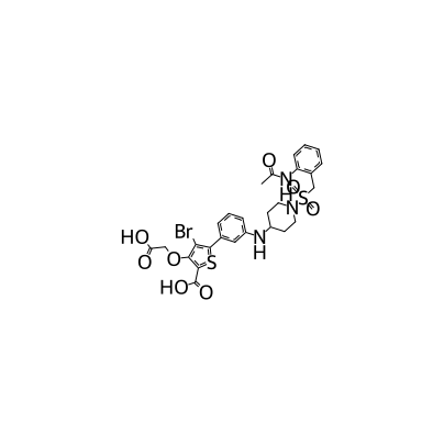 CC(=O)Nc1ccccc1CS(=O)(=O)N1CCC(Nc2cccc(-c3sc(C(=O)O)c(OCC(=O)O)c3Br)c2)CC1